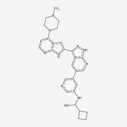 CN1CCN(c2ccnc3[nH]c(-c4n[nH]c5ncc(-c6cncc(NC(O)C7CCC7)c6)cc45)cc23)CC1